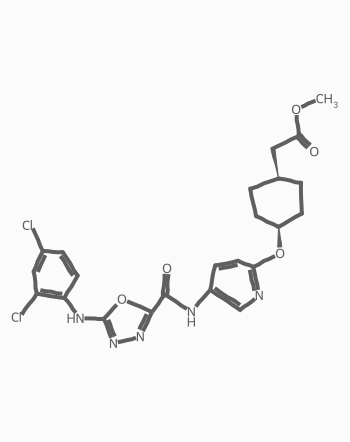 COC(=O)C[C@H]1CC[C@@H](Oc2ccc(NC(=O)c3nnc(Nc4ccc(Cl)cc4Cl)o3)cn2)CC1